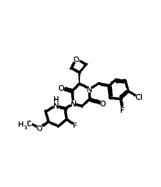 COC1CNC(N2CC(=O)N(Cc3ccc(Cl)c(F)c3)[C@H](C3COC3)C2=O)C(F)C1